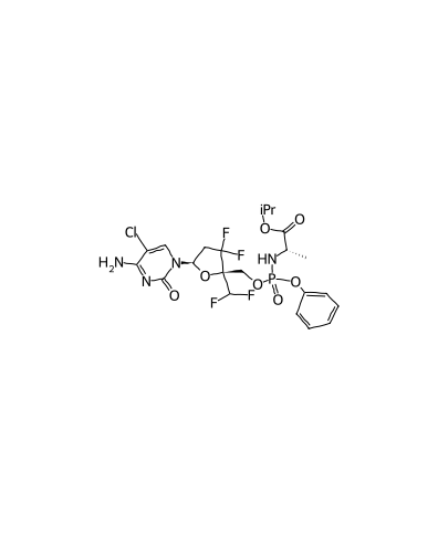 CC(C)OC(=O)[C@H](C)NP(=O)(OC[C@@]1(C(F)F)O[C@@H](n2cc(Cl)c(N)nc2=O)CC1(F)F)Oc1ccccc1